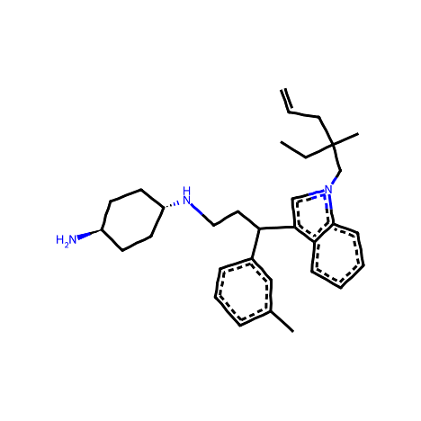 C=CCC(C)(CC)Cn1cc(C(CCN[C@H]2CC[C@H](N)CC2)c2cccc(C)c2)c2ccccc21